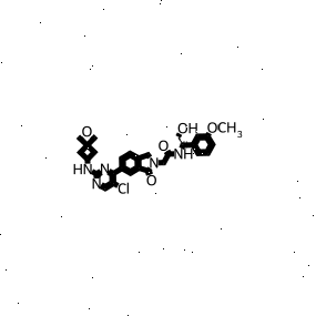 COc1cccc([C@@H](CO)NC(=O)CN2Cc3ccc(-c4nc(NC5CC6(COC6)C5)ncc4Cl)cc3C2=O)c1